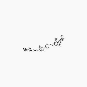 COCCCCC[SiH]1CCC([C@H]2CC[C@H](CCc3cc(F)c(OC=C(F)F)c(F)c3)CC2)CC1